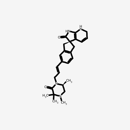 C[C@H]1CN(C)C(C)(C)C(=O)N1C/C=C/c1ccc2c(c1)C[C@@]1(C2)C(=O)NC2=C1C=CCN2